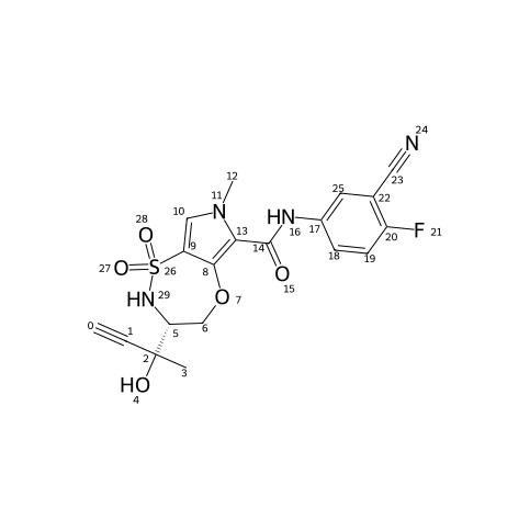 C#CC(C)(O)[C@H]1COc2c(cn(C)c2C(=O)Nc2ccc(F)c(C#N)c2)S(=O)(=O)N1